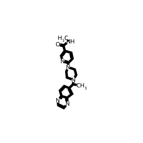 CNC(=O)c1ccc(N2CCN(C(C)c3ccc4nccnc4c3)CC2)nc1